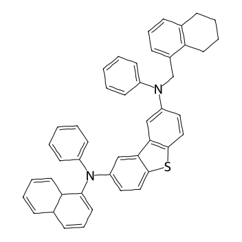 C1=CC2C=CC=C(N(c3ccccc3)c3ccc4sc5ccc(N(Cc6cccc7c6CCCC7)c6ccccc6)cc5c4c3)C2C=C1